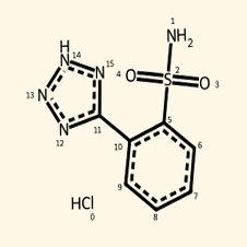 Cl.NS(=O)(=O)c1ccccc1-c1nn[nH]n1